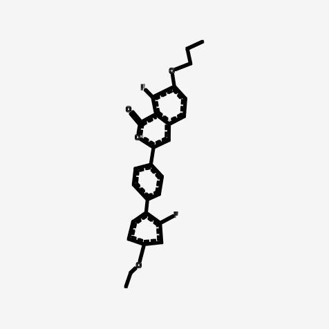 CCCOc1ccc2cc(-c3ccc(-c4ccc(OCC)cc4F)cc3)oc(=O)c2c1F